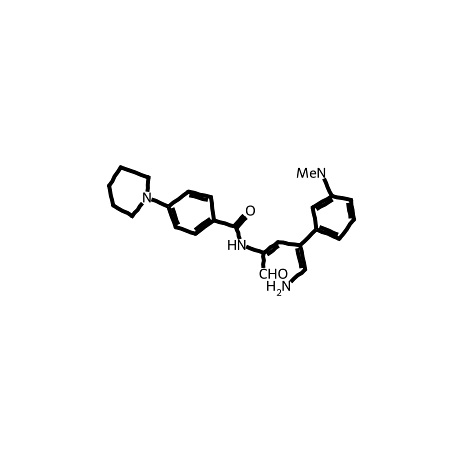 CNc1cccc(C(/C=C(\C=O)NC(=O)c2ccc(N3CCCCC3)cc2)=C/N)c1